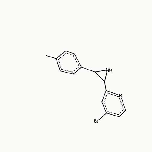 Cc1ccc(C2NC2c2cc(Br)ccn2)cc1